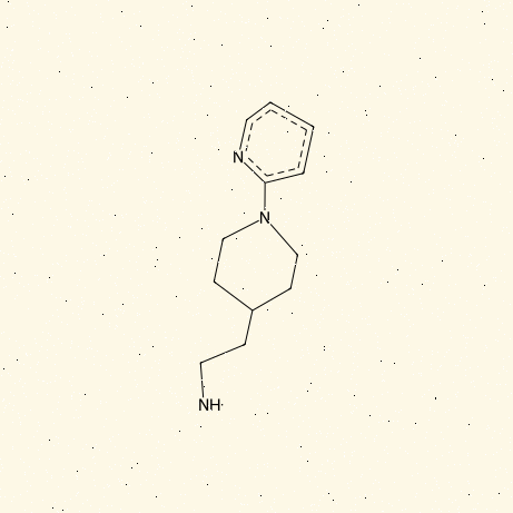 [NH]CCC1CCN(c2ccccn2)CC1